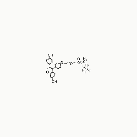 CC(CC(F)(F)C(F)(F)F)[S+]([O-])CCOCCOc1ccc(C2=C(c3ccc(O)cc3)COc3cc(O)ccc32)cc1